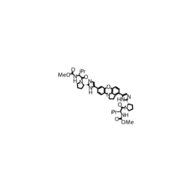 COC(=O)N[C@H](C(=O)N1CCC[C@H]1c1ncc(-c2ccc3c(c2)Oc2ccc(-c4cnc([C@@H]5CCCN5C(=O)[C@@H](NC(=O)OC)C(C)C)[nH]4)c4c2N3CC4)[nH]1)C(C)C